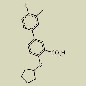 Cc1cc(-c2ccc(OC3CCCC3)c(C(=O)O)c2)ccc1F